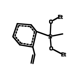 C=Cc1ccccc1[Si](C)(OCC)OCC